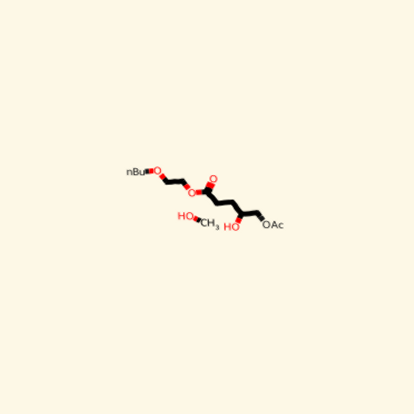 CCCCOCCOC(=O)CCC(O)COC(C)=O.CO